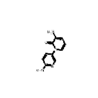 COc1ccc(-n2cccc(N)c2=O)cn1